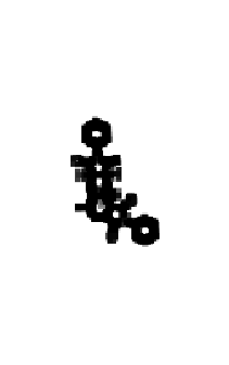 C=C1[C@@H]2C3OC(C4=C(C)CC5C(=O)N(c6ccccc6)C(=O)C5[C@@H]43)[C@@H]2C(=O)N1c1ccccc1